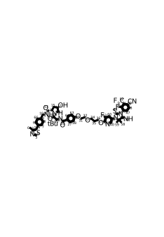 Cc1ncsc1-c1ccc(CNC(=O)[C@@H]2C[C@@H](O)CN2C(=O)[C@@H](NC(=O)c2ccc(OCCOCCCOc3ncc(N4C(=S)N(c5ccc(C#N)c(C(F)(F)F)c5F)C(=N)C4(C)C)cc3F)cc2)C(C)(C)C)cc1